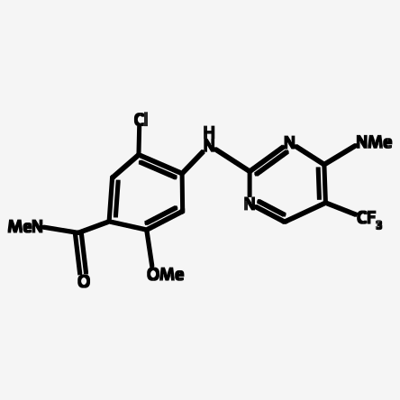 CNC(=O)c1cc(Cl)c(Nc2ncc(C(F)(F)F)c(NC)n2)cc1OC